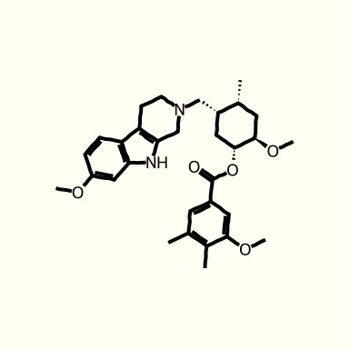 COc1ccc2c3c([nH]c2c1)CN(C[C@H]1C[C@@H](OC(=O)c2cc(C)c(C)c(OC)c2)[C@H](OC)C[C@H]1C)CC3